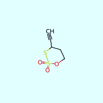 C#CC1CCOS(=O)(=O)S1